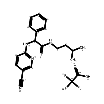 CC(C)CCNC(=O)C(Nc1ccc(C#N)cn1)c1ccccc1.O=C(O)C(F)(F)F